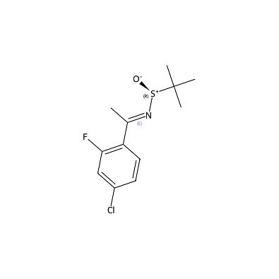 C/C(=N\[S@@+]([O-])C(C)(C)C)c1ccc(Cl)cc1F